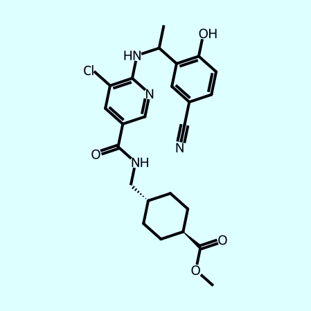 COC(=O)[C@H]1CC[C@H](CNC(=O)c2cnc(NC(C)c3cc(C#N)ccc3O)c(Cl)c2)CC1